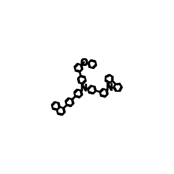 c1ccc(Oc2cccc(-c3ccc(N(c4ccc(-c5ccc(-c6cccc7ccccc67)cc5)cc4)c4ccc(-c5cccc(-n6c7ccccc7c7ccccc76)c5)cc4)cc3)c2)cc1